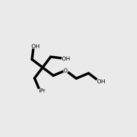 CC(C)CC(CO)(CO)COCCO